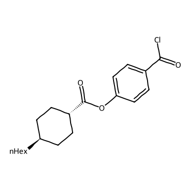 CCCCCC[C@H]1CC[C@H](C(=O)Oc2ccc(C(=O)Cl)cc2)CC1